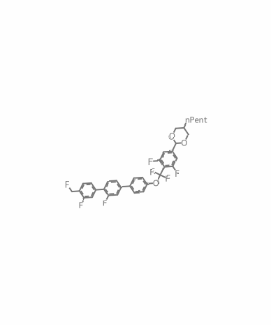 CCCCCC1COC(c2cc(F)c(C(F)(F)Oc3ccc(-c4ccc(-c5ccc(CF)c(F)c5)c(F)c4)cc3)c(F)c2)OC1